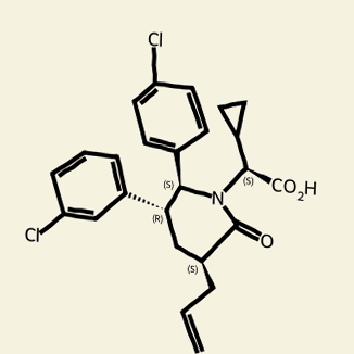 C=CC[C@H]1C[C@H](c2cccc(Cl)c2)[C@@H](c2ccc(Cl)cc2)N([C@H](C(=O)O)C2CC2)C1=O